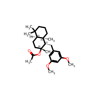 COc1cc(C[C@H]2[C@]3(C)CCCC(C)(C)[C@@H]3CC[C@@]2(C)OC(C)=O)cc(OC)c1